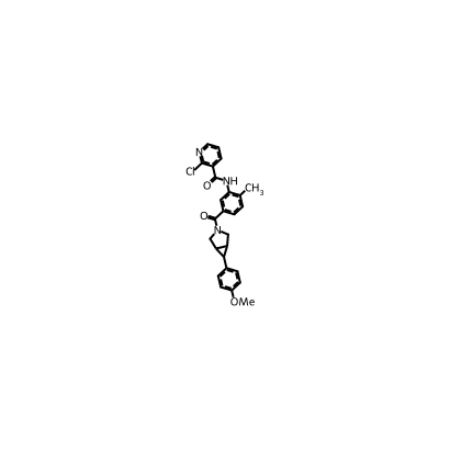 COc1ccc(C2C3CN(C(=O)c4ccc(C)c(NC(=O)c5cccnc5Cl)c4)CC32)cc1